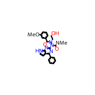 CNC(=O)N(c1nc(-c2ccccc2)c2cc[nH]c2n1)N(CCO)C(=O)c1cccc(OC)c1